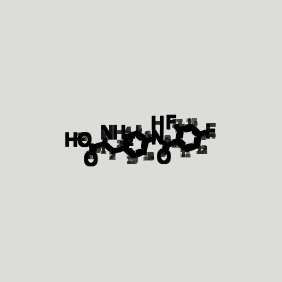 NC(Cc1ccc(NC(=O)c2ccc(F)cc2F)cc1)C(=O)O